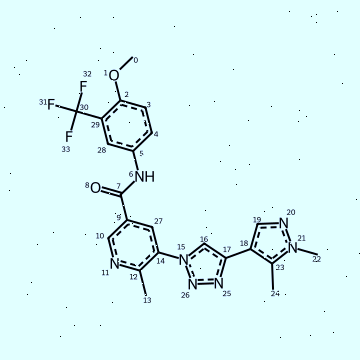 COc1ccc(NC(=O)c2cnc(C)c(-n3cc(-c4cnn(C)c4C)nn3)c2)cc1C(F)(F)F